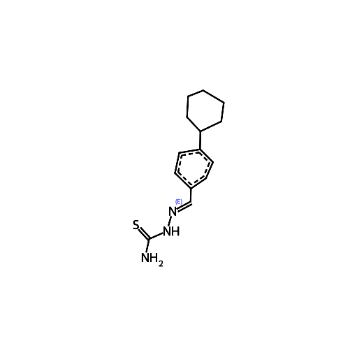 NC(=S)N/N=C/c1ccc(C2CCCCC2)cc1